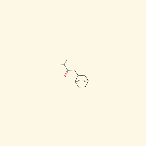 CC(C)C(=O)CC1CC2CCC1CC2